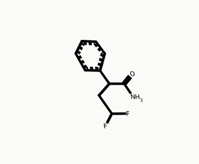 NC(=O)C(CC(F)F)c1ccccc1